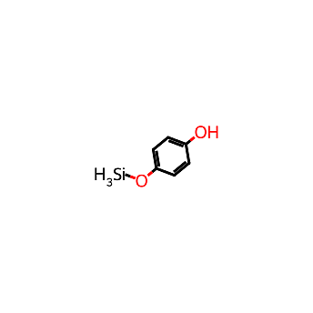 Oc1ccc(O[SiH3])cc1